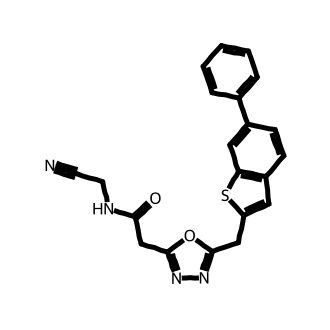 N#CCNC(=O)Cc1nnc(Cc2cc3ccc(-c4ccccc4)cc3s2)o1